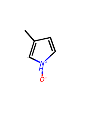 CC1=[C][NH+]([O-])C=C1